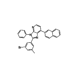 Cc1cc(Br)cc(-c2nc3c(-c4ccc5ccccc5c4)ccnc3n2-c2ccccc2)c1